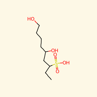 CCC(CC(O)CCCCO)S(=O)(=O)O